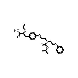 CCOC(Cc1ccc(OCCN(CCSc2ccccc2)C(=O)OC(C)C)cc1)C(=O)O